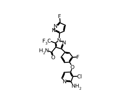 NC(=O)c1c(-c2ccc(Oc3ccnc(N)c3Cl)c(F)c2)nn(-c2ccc(F)nn2)c1C(F)(F)F